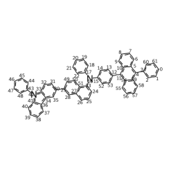 c1ccc(-c2c3ccccc3c(-c3ccc(N(c4ccccc4)c4cccc5cc(-c6ccc7c(c6)c6ccccc6n7-c6ccccc6)ccc45)cc3)c3ccccc23)cc1